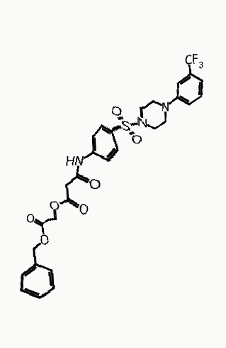 O=C(CC(=O)OCC(=O)OCc1ccccc1)Nc1ccc(S(=O)(=O)N2CCN(c3cccc(C(F)(F)F)c3)CC2)cc1